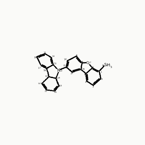 [SiH3]c1cccc2c1oc1ccc(N3c4ccccc4C4C=CC=CC43)cc12